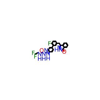 O=C(NCC(F)F)Nc1nc2cc(-c3cc(Cc4n[nH]c(=O)c5ccccc45)ccc3F)ccc2[nH]1